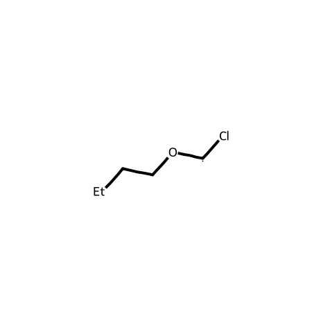 CCCCO[CH]Cl